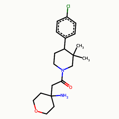 CC1(C)CN(C(=O)CC2(N)CCOCC2)CCC1c1ccc(Cl)cc1